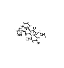 CCOC(=O)C1=C2CCCC(=O)N2C(c2nccs2)=NC1c1ccc(F)cc1Cl